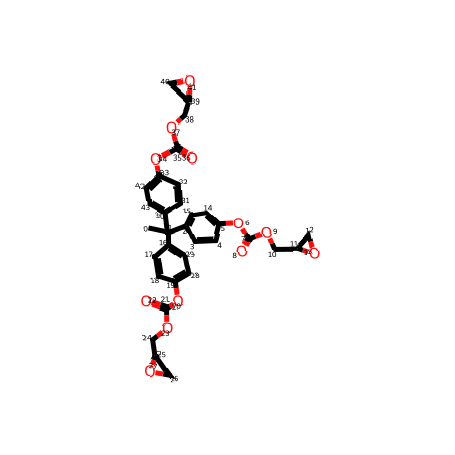 CC(c1ccc(OC(=O)OCC2CO2)cc1)(c1ccc(OC(=O)OCC2CO2)cc1)c1ccc(OC(=O)OCC2CO2)cc1